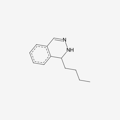 CCCCC1NN=Cc2ccccc21